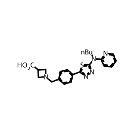 CCCCN(c1ccccn1)c1nnc(-c2ccc(CN3CC(C(=O)O)C3)cc2)s1